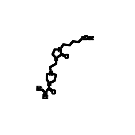 CCCCCCCCCCCCCCN1CCN(CCN2CCN(C(=O)N(CC)CC)CC2)C1=O